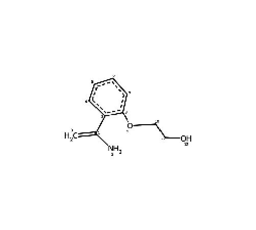 C=C(N)c1ccccc1OCCO